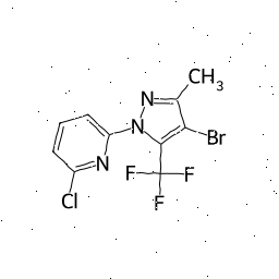 Cc1nn(-c2cccc(Cl)n2)c(C(F)(F)F)c1Br